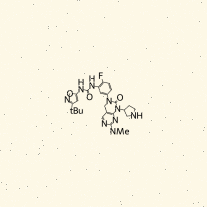 CNc1ncc2c(n1)N(C1CCNC1)C(=O)N(c1ccc(F)c(NC(=O)Nc3cc(C(C)(C)C)no3)c1)C2